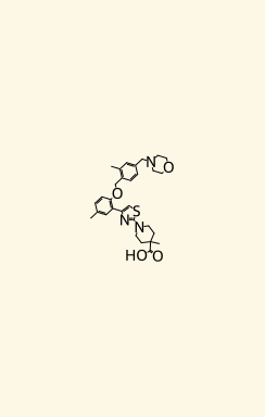 Cc1ccc(OCc2ccc(CN3CCOCC3)cc2C)c(-c2csc(N3CCC(C)(C(=O)O)CC3)n2)c1